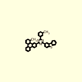 CC1C=C(c2nc(-c3ccc4c(c3)c3c(c5ccccc54)C=CCC3C)nc(-c3ccc4sc5ccccc5c4c3)n2)C=CC1